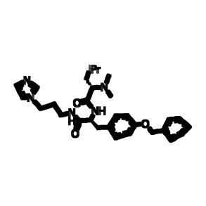 CC(C)C[C@@H](C(=O)N[C@@H](Cc1ccc(OCc2ccccc2)cc1)C(=O)NCCCn1ccnc1)N(C)C